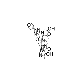 CCc1c(N2CCN(C(=O)c3ncnc(C)c3O)[C@H]3CC[C@@H]32)c(=O)c2nn(C3=CCOCC3)nc2n1CC(=O)O